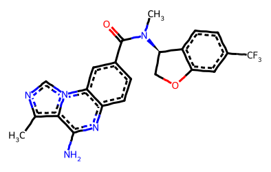 Cc1ncn2c1c(N)nc1ccc(C(=O)N(C)[C@@H]3COc4cc(C(F)(F)F)ccc43)cc12